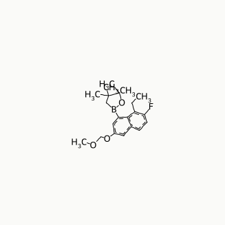 CCc1c(F)ccc2cc(OCOC)cc(B3CC(C)(C)C(C)(C)O3)c12